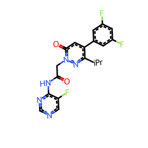 CC(C)c1nn(CC(=O)Nc2ncncc2F)c(=O)cc1-c1cc(F)cc(F)c1